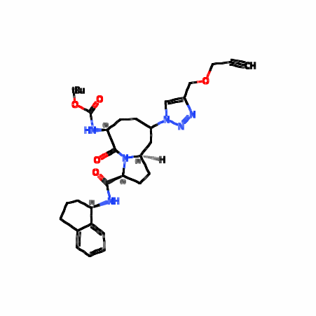 C#CCOCc1cn(C2CC[C@H](NC(=O)OC(C)(C)C)C(=O)N3[C@H](CC[C@H]3C(=O)N[C@@H]3CCCc4ccccc43)C2)nn1